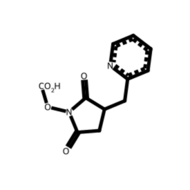 O=C(O)ON1C(=O)CC(Cc2ccccn2)C1=O